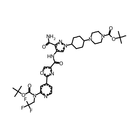 CC(C)(C)OC(=O)N1CCN(C2CCC(n3cc(NC(=O)c4coc(-c5ccnc(N(CC(F)(F)F)C(=O)OC(C)(C)C)c5)n4)c(C(N)=O)n3)CC2)CC1